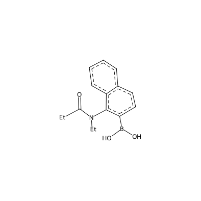 CCC(=O)N(CC)c1c(B(O)O)ccc2ccccc12